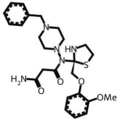 COc1ccccc1OC[C@@]1(N(C(=O)CC(N)=O)N2CCN(Cc3ccccc3)CC2)NCCS1